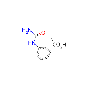 CC(=O)O.NC(=O)Nc1ccccc1